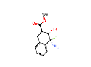 CC(C)(C)OC(=O)[C@@H]1Cc2ccccc2[C@](N)(F)[C@H]1O